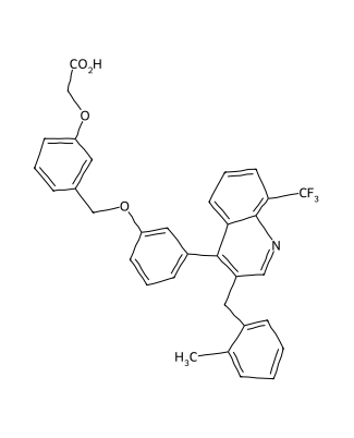 Cc1ccccc1Cc1cnc2c(C(F)(F)F)cccc2c1-c1cccc(OCc2cccc(OCC(=O)O)c2)c1